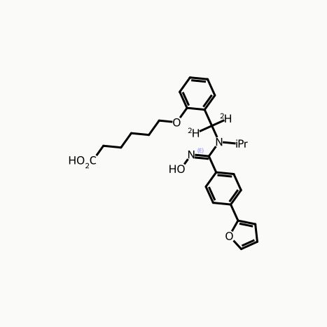 [2H]C([2H])(c1ccccc1OCCCCCC(=O)O)N(/C(=N/O)c1ccc(-c2ccco2)cc1)C(C)C